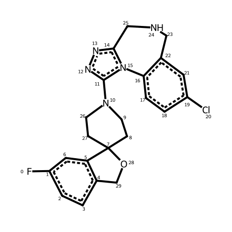 Fc1ccc2c(c1)C1(CCN(c3nnc4n3-c3ccc(Cl)cc3CNC4)CC1)OC2